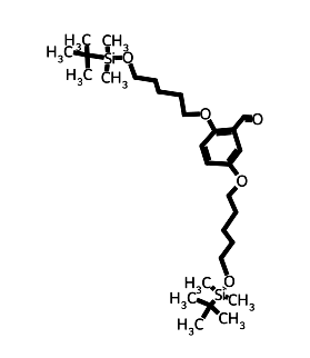 CC(C)(C)[Si](C)(C)OCCCCCOc1ccc(OCCCCCO[Si](C)(C)C(C)(C)C)c(C=O)c1